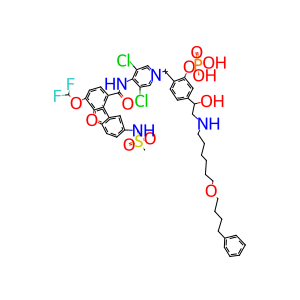 CS(=O)(=O)Nc1ccc2oc3c(OC(F)F)ccc(C(=O)Nc4c(Cl)c[n+](Cc5ccc(C(O)CNCCCCCCOCCCCc6ccccc6)cc5OP(=O)(O)O)cc4Cl)c3c2c1